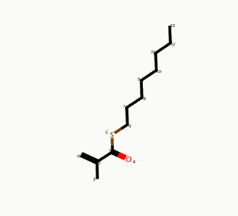 C=C(C)C(=O)SCCCCCCCC